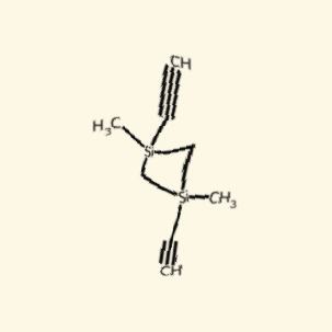 C#C[Si]1(C)C[Si](C)(C#C)C1